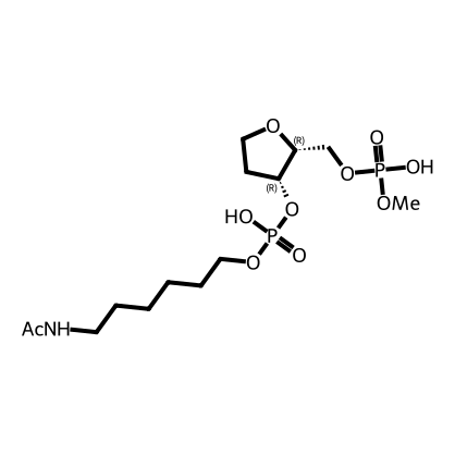 COP(=O)(O)OC[C@H]1OCC[C@H]1OP(=O)(O)OCCCCCCNC(C)=O